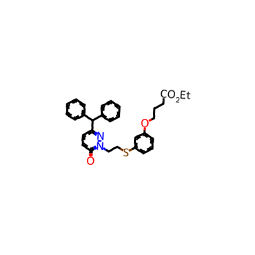 CCOC(=O)CCCOc1cccc(SCCn2nc(C(c3ccccc3)c3ccccc3)ccc2=O)c1